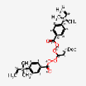 [CH2]CCCCCCCCCC[C](OOC(=O)c1ccc([Si](C)(C)C=C)cc1)OOC(=O)c1ccc([Si](C)(C)C=C)cc1